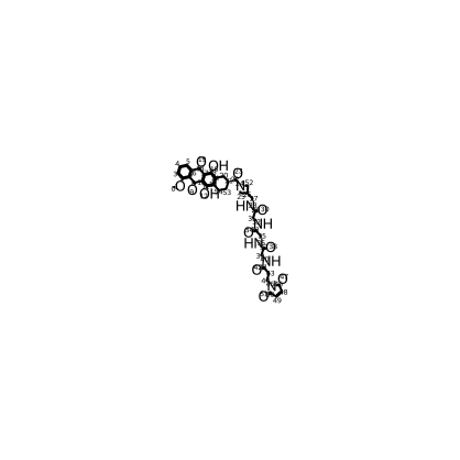 COc1cccc2c1C(=O)c1c(O)c3c(c(O)c1C2=O)C[C@@H](C(=O)N1CC(CNC(=O)CNC(=O)CNC(=O)CNC(=O)CCN2C(=O)C=CC2=O)C1)CC3